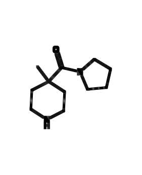 CC1(C(=O)N2CCCC2)CCNCC1